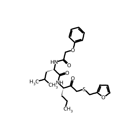 CCC[C@H](NC(=O)[C@H](CC(C)C)NC(=O)COc1ccccc1)C(=O)CSCc1ccco1